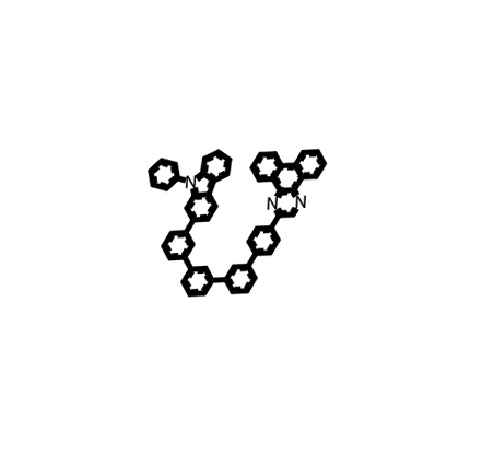 c1ccc(-n2c3ccccc3c3ccc(-c4cccc(-c5cccc(-c6cccc(-c7ccc(-c8cnc9c%10ccccc%10c%10ccccc%10c9n8)cc7)c6)c5)c4)cc32)cc1